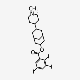 CN1CCC(C2CC3CC(CC(OC(=O)c4cc(I)cc(I)c4I)C3)C2)CC1